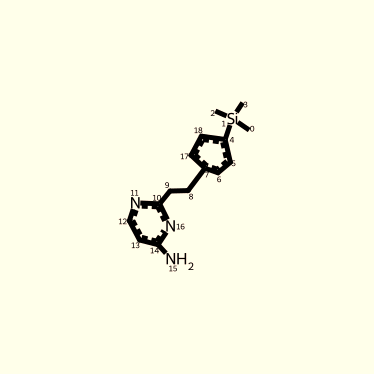 C[Si](C)(C)c1ccc(CCc2nccc(N)n2)cc1